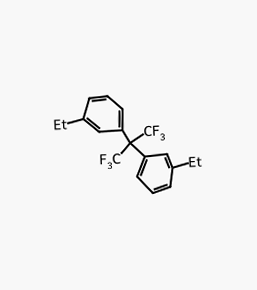 CCc1cccc(C(c2cccc(CC)c2)(C(F)(F)F)C(F)(F)F)c1